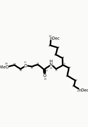 CCCCCCCCCCCCCCC(CCCCCCCCCCCCCC)CNC(=O)CCOCCOC